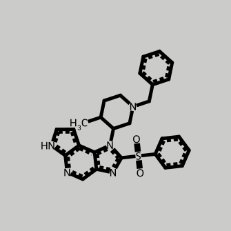 CC1CCN(Cc2ccccc2)CC1n1c(S(=O)(=O)c2ccccc2)nc2cnc3[nH]ccc3c21